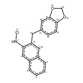 ClNc1cc2ccccc2nc1Cc1ccc2c(c1)OCO2